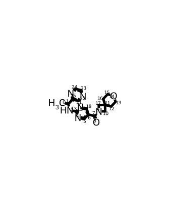 CC(Nc1ncc(C(=O)N2CC3(CCOCC3)C2)cn1)c1cnccn1